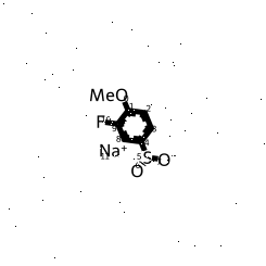 COc1ccc(S(=O)[O-])cc1F.[Na+]